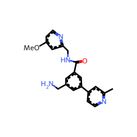 COc1ccnc(CNC(=O)c2cc(CN)cc(-c3ccnc(C)c3)c2)c1